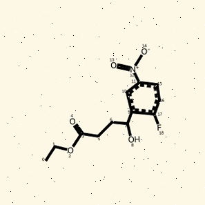 CCOC(=O)CCC(O)c1cc([N+](=O)[O-])ccc1F